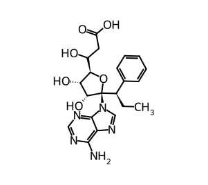 CC[C@H](c1ccccc1)[C@@]1(n2cnc3c(N)ncnc32)O[C@H](C(O)CC(=O)O)[C@@H](O)[C@H]1O